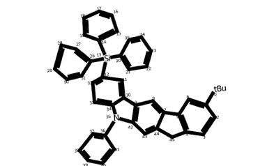 CC(C)(C)c1ccc2c(c1)-c1cc3c4cc([Si](c5ccccc5)(c5ccccc5)c5ccccc5)ccc4n(-c4ccccc4)c3cc1C2